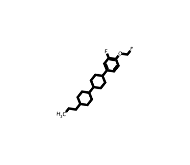 CCCC1CCC(C2CCC(c3ccc(OCF)c(F)c3)CC2)CC1